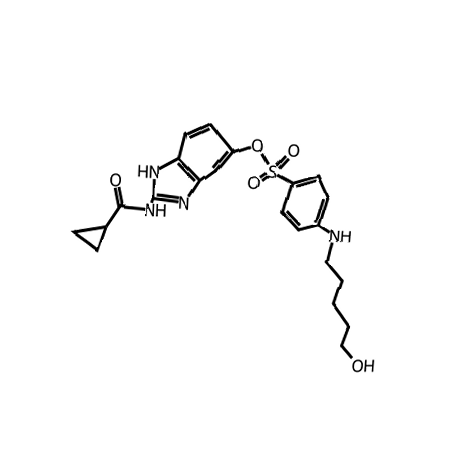 O=C(Nc1nc2cc(OS(=O)(=O)c3ccc(NCCCCCO)cc3)ccc2[nH]1)C1CC1